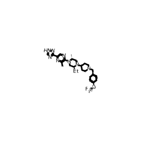 CC[C@H]1CN(c2ncc(-c3nc[nH]n3)nc2C)[C@H](C)CN1C1CCN(Cc2ccc(OC(F)(F)F)cc2)CC1